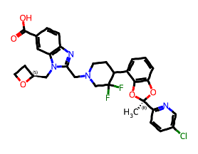 C[C@@]1(c2ccc(Cl)cn2)Oc2cccc(C3CCN(Cc4nc5ccc(C(=O)O)cc5n4C[C@@H]4CCO4)CC3(F)F)c2O1